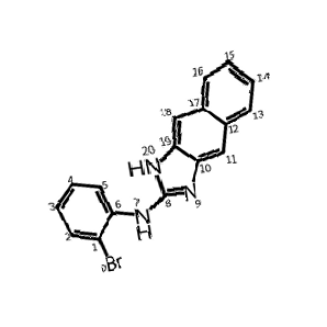 Brc1ccccc1Nc1nc2cc3ccccc3cc2[nH]1